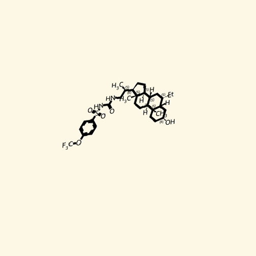 CC[C@H]1C[C@@H]2[C@H](CC[C@]3(C)[C@@H]([C@H](C)CNC(=O)NS(=O)(=O)c4ccc(OC(F)(F)F)cc4)CC[C@@H]23)[C@@]2(C)CC[C@@H](O)C[C@@H]12